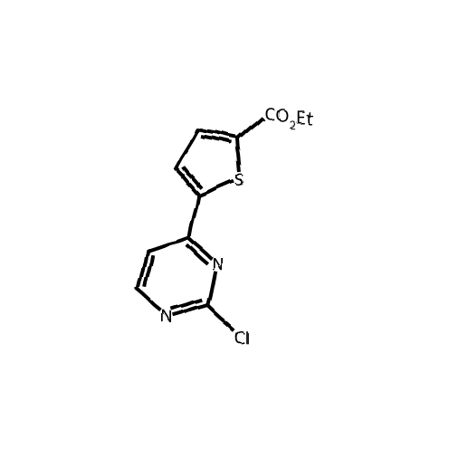 CCOC(=O)c1ccc(-c2ccnc(Cl)n2)s1